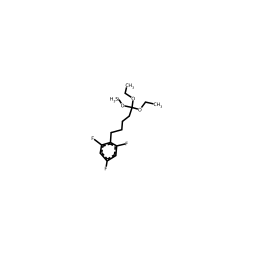 CCOC(CCCCc1c(F)cc(F)cc1F)(O[SiH3])OCC